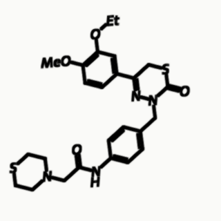 CCOc1cc(C2=NN(Cc3ccc(NC(=O)CN4CCSCC4)cc3)C(=O)SC2)ccc1OC